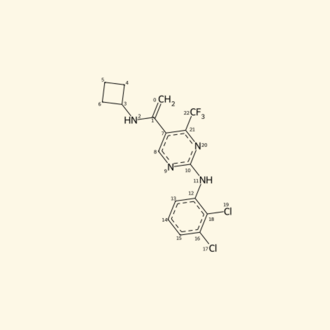 C=C(NC1CCC1)c1cnc(Nc2cccc(Cl)c2Cl)nc1C(F)(F)F